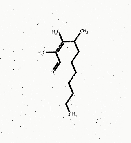 CCCCCCCC(C)C(C)=C(C)C=O